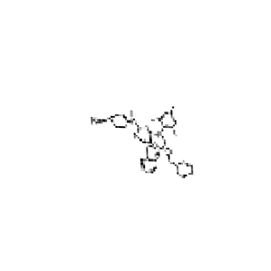 Cc1cc(C)c(N(CP(=O)(OCc2ccccc2)OCc2ccccc2)c2ccnc(Nc3ccc(C#N)cc3)n2)c(C)c1